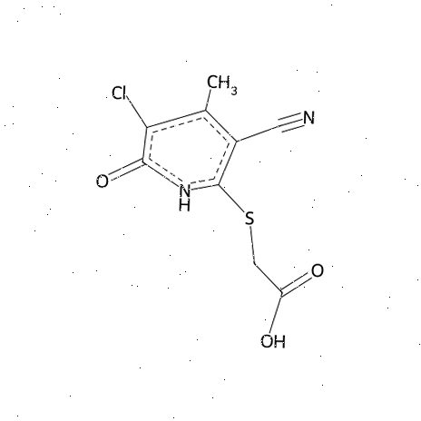 Cc1c(C#N)c(SCC(=O)O)[nH]c(=O)c1Cl